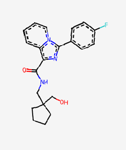 O=C(NCC1(CO)CCCC1)c1nc(-c2ccc(F)cc2)n2ccccc12